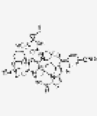 C=CC1C[C@]1(NC(=O)[C@@H]1C[C@@H](Oc2cc(-c3csc(NC(C)C)n3)nc3cc(OC)ccc23)CN1C(=O)[C@@H](NC(=O)NC1(CS(=O)(=O)C(C)(C)C)CCCCC1)C1(C)CCCCC1)C(=O)O